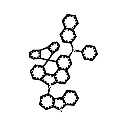 c1ccc(N(c2ccc3ccccc3c2)c2cc3c4c(ccc5c4c4c(cccc4n5-c4cccc5sc6ccccc6c45)C34c3ccccc3-c3ccccc34)c2)cc1